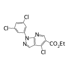 CCOC(=O)c1cnc2c(cnn2-c2cc(Cl)cc(Cl)c2)c1Cl